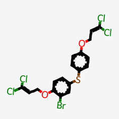 ClC(Cl)=CCOc1ccc(Sc2ccc(OCC=C(Cl)Cl)c(Br)c2)cc1